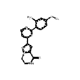 COc1ccc(-c2nccc(-c3cc4n(n3)CCNC4=O)n2)c(C)c1